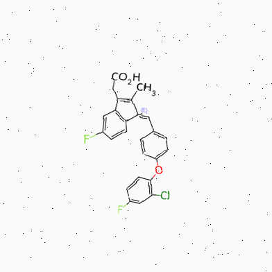 CC1=C(CC(=O)O)c2cc(F)ccc2/C1=C\c1ccc(Oc2ccc(F)cc2Cl)cc1